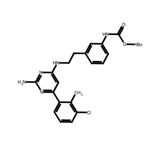 Cc1c(Cl)cccc1-c1cc(NCCc2cccc(NC(=O)OC(C)(C)C)c2)nc(N)n1